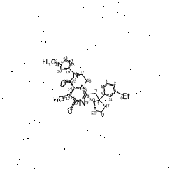 CCc1cccc(C2(Cc3nc(=O)c(O)c4n3CCN(c3cn(C)cn3)C4=O)CCCC2)c1